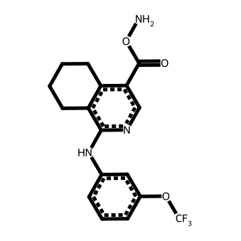 NOC(=O)c1cnc(Nc2cccc(OC(F)(F)F)c2)c2c1CCCC2